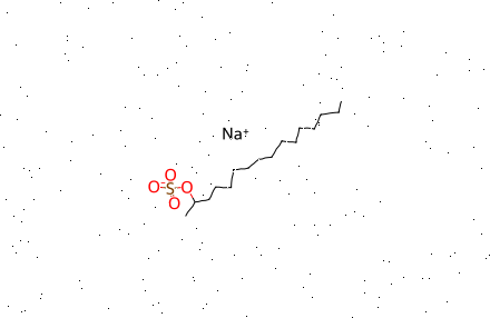 CCCCCCCCCCCCCCC(C)OS(=O)(=O)[O-].[Na+]